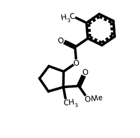 COC(=O)C1(C)CCCC1OC(=O)c1ccccc1C